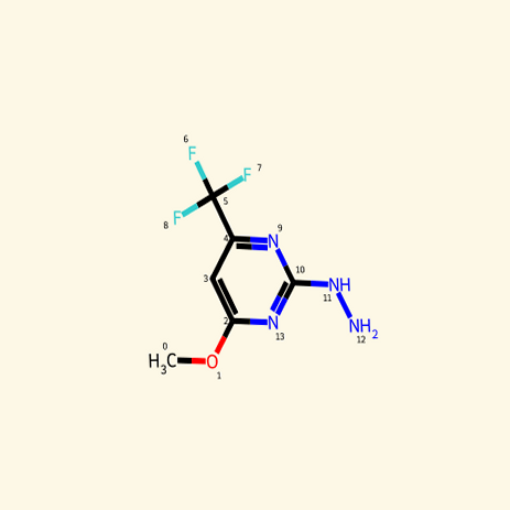 COc1cc(C(F)(F)F)nc(NN)n1